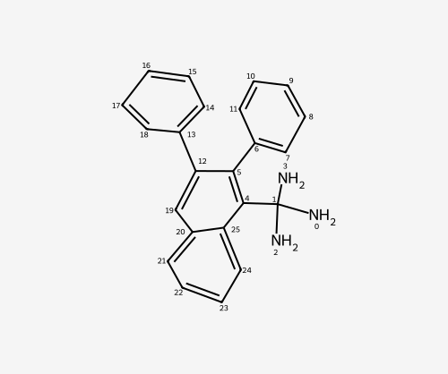 NC(N)(N)c1c(-c2ccccc2)c(-c2ccccc2)cc2ccccc12